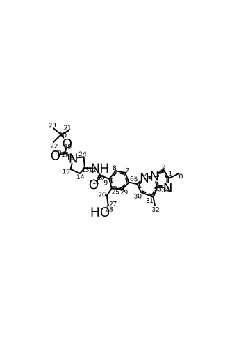 Cc1cn2nc(-c3ccc(C(=O)NC4CCN(C(=O)OC(C)(C)C)C4)c(CCO)c3)cc(C)c2n1